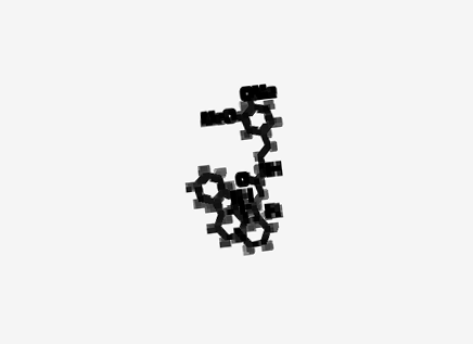 CC[C@]1(CCC(=O)NCCc2ccc(OC)c(OC)c2)CCCN2CCc3c([nH]c4ccccc34)[C@@H]21